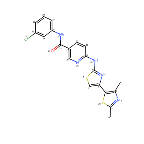 Cc1nc(C)c(-c2csc(Nc3ccc(C(=O)Nc4cccc(Cl)c4)cn3)n2)s1